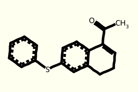 CC(=O)C1=CCCc2cc(Sc3ccccc3)ccc21